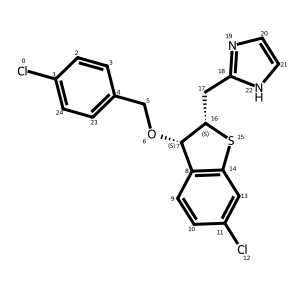 Clc1ccc(CO[C@H]2c3ccc(Cl)cc3S[C@H]2Cc2ncc[nH]2)cc1